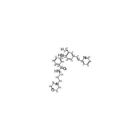 Cc1cc(/C=C/c2ccccn2)ccc1Nc1cccc(C(=O)NCCCN2CCOCC2)c1